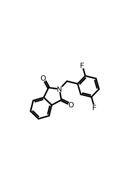 O=C1c2ccccc2C(=O)N1Cc1cc(F)ccc1F